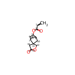 C=CC(=O)OC1CC2CC1CC21COC(=O)C1